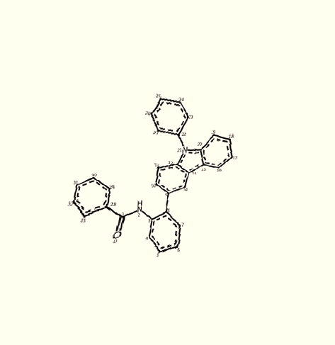 O=C(Nc1ccccc1-c1ccc2c(c1)c1ccccc1n2-c1ccccc1)c1ccccc1